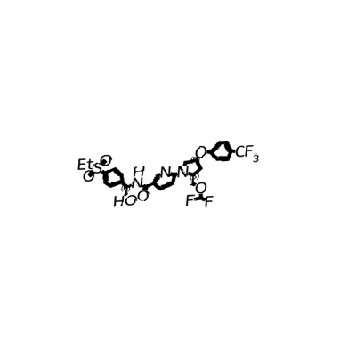 CCS(=O)(=O)c1ccc([C@H](CO)NC(=O)c2ccc(N3C[C@H](Oc4ccc(C(F)(F)F)cc4)C[C@H]3COC(F)F)nc2)cc1